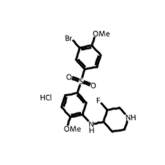 COc1ccc(S(=O)(=O)c2ccc(OC)c(NC3CCNCC3F)c2)cc1Br.Cl